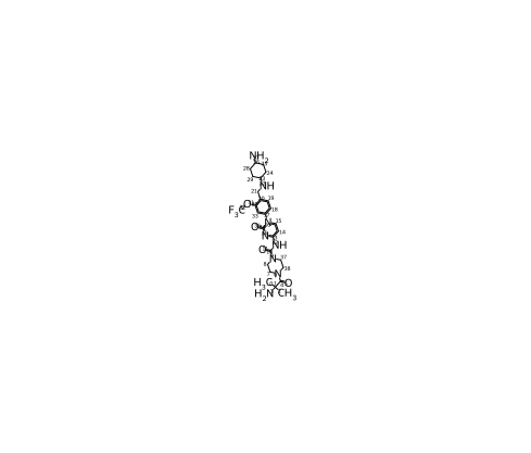 CC(C)(N)C(=O)N1CCN(C(=O)Nc2ccn(-c3ccc(CNC4CCC(N)CC4)c(OC(F)(F)F)c3)c(=O)n2)CC1